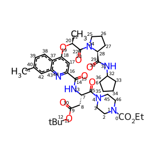 CCOC(=O)N1CCN(C(=O)[C@H](CC(=O)OC(C)(C)C)NC(=O)c2cc(O[C@@H](C)C(=O)N3CCC[C@H]3C(=O)NC3CCCC3)c3ccc(C)cc3n2)CC1